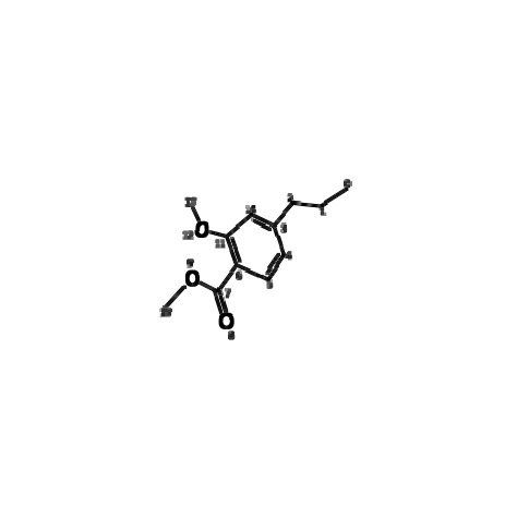 CCCc1ccc(C(=O)OC)c(OC)c1